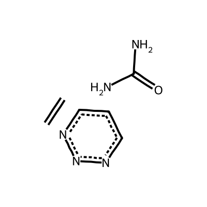 C=C.NC(N)=O.c1cnnnc1